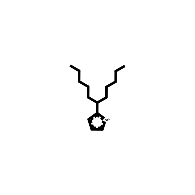 CCCCCC(CCCCC)c1ccc[se]1